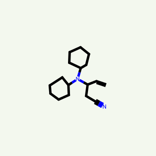 C=CC(CC#N)N(C1CCCCC1)C1CCCCC1